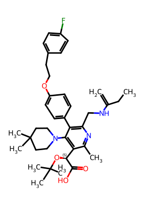 C=C(CC)NCc1nc(C)c([C@H](OC(C)(C)C)C(=O)O)c(N2CCC(C)(C)CC2)c1-c1ccc(OCCc2ccc(F)cc2)cc1